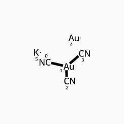 N#[C][Au]([C]#N)[C]#N.[Au].[K]